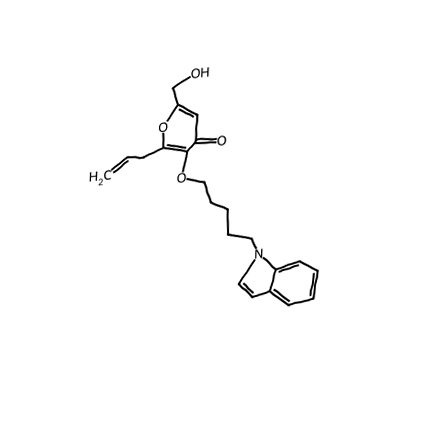 C=CCc1oc(CO)cc(=O)c1OCCCCCn1ccc2ccccc21